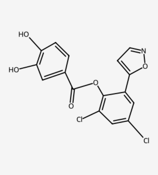 O=C(Oc1c(Cl)cc(Cl)cc1-c1ccno1)c1ccc(O)c(O)c1